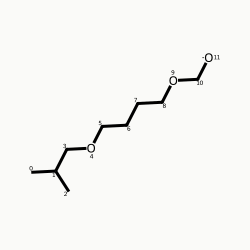 CC(C)COCCCCOC[O]